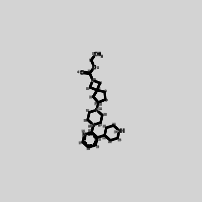 CCOC(=O)N1CC2(CC[C@@H](N3CCN(c4ncccc4C4CCNCC4)CC3)C2)C1